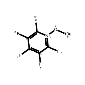 CC(C)(C)O[n+]1c(F)c(F)c(F)c(F)c1F